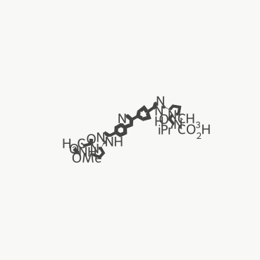 COC(=O)N[C@@H](C)C(=O)N1CCC[C@H]1c1ncc(-c2ccc3cc(-c4ccc(-c5cnc([C@@H]6CCCN6C(=O)[C@H](C(C)C)N(C)C(=O)O)[nH]5)cc4)cnc3c2)[nH]1